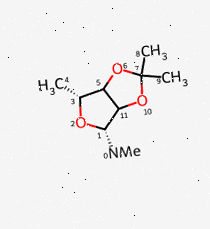 CN[C@@H]1O[C@H](C)C2OC(C)(C)OC21